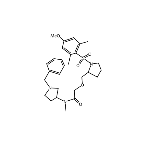 COc1cc(C)c(S(=O)(=O)N2CCCC2COCC(=O)N(C)C2CCN(Cc3ccccc3)C2)c(C)c1